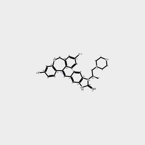 C[C@H](CN1CCOCC1)n1c(=N)[nH]c2cc(/C=C3\c4ccc(F)cc4COc4cc(F)ccc43)ccc21